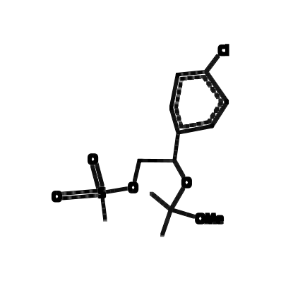 COC(C)(C)OC(COS(C)(=O)=O)c1ccc(Cl)cc1